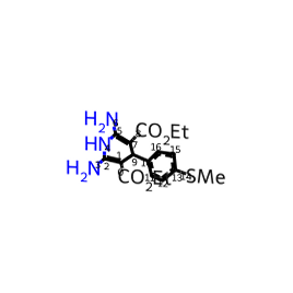 CCOC(=O)C1=C(N)NC(N)=C(C(=O)OCC)C1c1ccc(SC)cc1